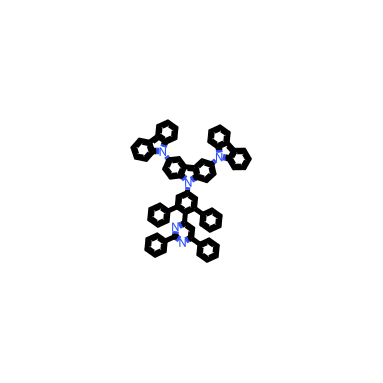 c1ccc(-c2cc(-c3c(-c4ccccc4)cc(-n4c5ccc(-n6c7ccccc7c7ccccc76)cc5c5cc(-n6c7ccccc7c7ccccc76)ccc54)cc3-c3ccccc3)nc(-c3ccccc3)n2)cc1